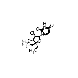 C=C[C@]1(CC)O[C@@H](n2ccc(=O)[nH]c2=O)[C@H](Cl)[C@@H]1C